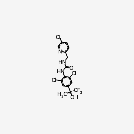 C[C@](O)(c1cc(Cl)c(NC(=O)NCc2ccc(Cl)cn2)c(Cl)c1)C(F)(F)F